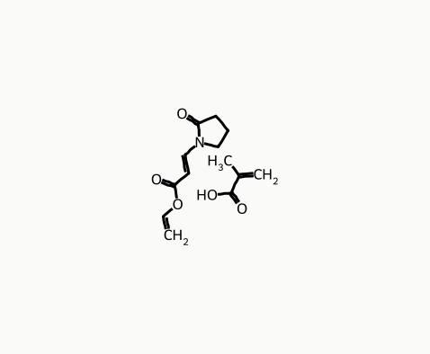 C=C(C)C(=O)O.C=COC(=O)C=CN1CCCC1=O